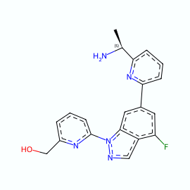 C[C@H](N)c1cccc(-c2cc(F)c3cnn(-c4cccc(CO)n4)c3c2)n1